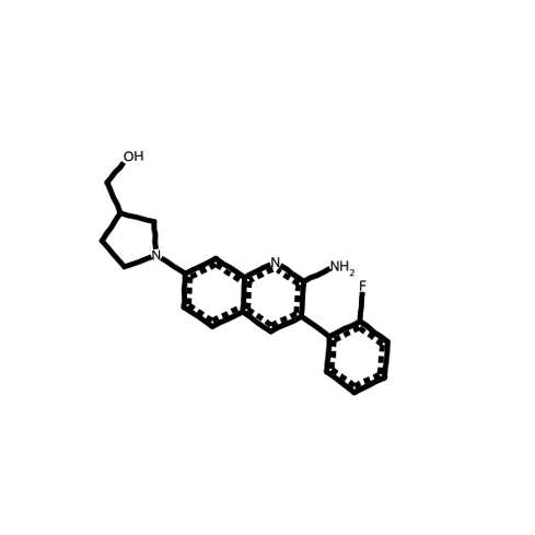 Nc1nc2cc(N3CCC(CO)C3)ccc2cc1-c1ccccc1F